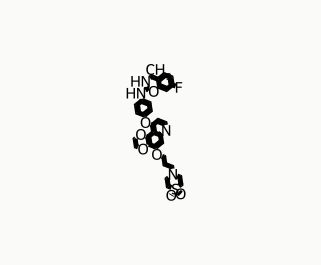 C[C@@H](NC(=O)Nc1ccc(Oc2ccnc3cc(OCCCN4CCS(=O)(=O)CC4)c4c(c23)OCCO4)cc1)c1ccc(F)cc1